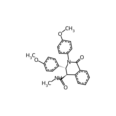 CNC(=O)[C@@H]1c2ccccc2C(=O)N(c2ccc(OC)cc2)[C@H]1c1ccc(OC)cc1